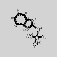 O=P(O)(O)Oc1nc2ccccc2s1